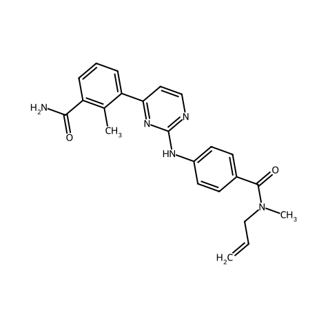 C=CCN(C)C(=O)c1ccc(Nc2nccc(-c3cccc(C(N)=O)c3C)n2)cc1